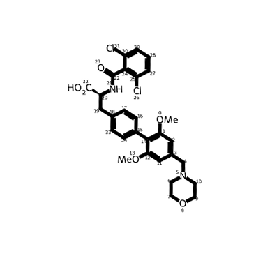 COc1cc(CN2CCOCC2)cc(OC)c1-c1ccc(C[C@H](NC(=O)c2c(Cl)cccc2Cl)C(=O)O)cc1